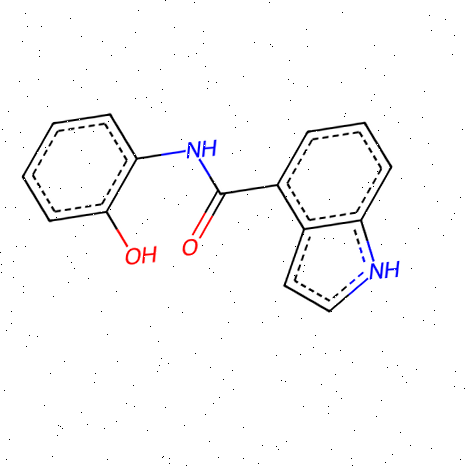 O=C(Nc1ccccc1O)c1cccc2[nH]ccc12